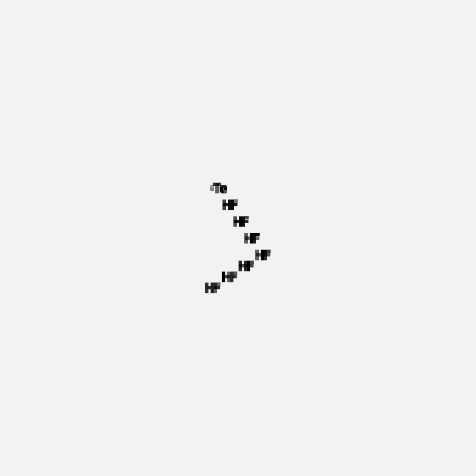 F.F.F.F.F.F.F.[Te]